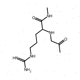 CNC(=O)C(CCCNC(=N)N)NCC(C)=O